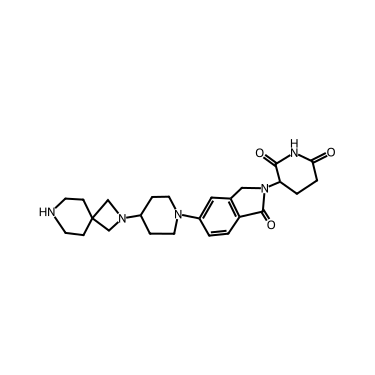 O=C1CCC(N2Cc3cc(N4CCC(N5CC6(CCNCC6)C5)CC4)ccc3C2=O)C(=O)N1